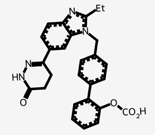 CCc1nc2ccc(C3=NNC(=O)CC3)cc2n1Cc1ccc(-c2ccccc2OC(=O)O)cc1